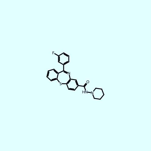 O=C(NN1CCCCC1)c1ccc2c(c1)N=C(c1cccc(F)c1)c1ccccc1S2